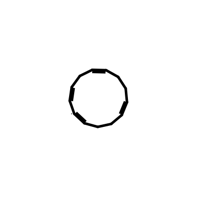 [C]1=CCCC=CCCC=CCC=C1